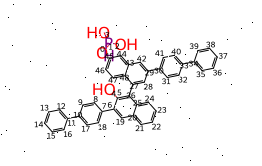 O=[PH](O)O.Oc1c(-c2ccc(-c3ccccc3)cc2)cc2ccccc2c1-c1cc(-c2ccc(-c3ccccc3)cc2)cc2ccccc12